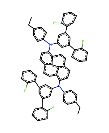 CCc1ccc(N(c2cc(-c3ccccc3F)cc(-c3ccccc3F)c2)c2ccc3ccc4c(N(c5ccc(CC)cc5)c5cc(-c6ccccc6F)cc(-c6ccccc6F)c5)ccc5ccc2c3c54)cc1